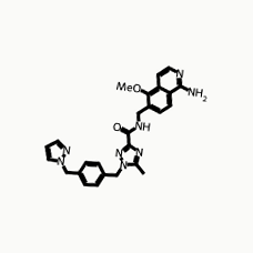 COc1c(CNC(=O)c2nc(C)n(Cc3ccc(Cn4cccn4)cc3)n2)ccc2c(N)nccc12